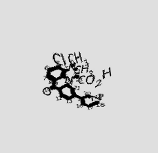 CN(C)c1c(Cl)ccc2c(=O)c3ccc(-c4cccnc4)cc3n(CC(=O)O)c12